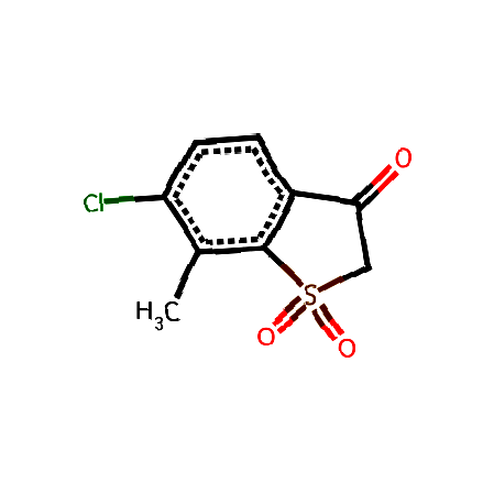 Cc1c(Cl)ccc2c1S(=O)(=O)CC2=O